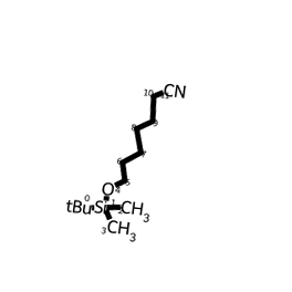 CC(C)(C)[Si](C)(C)OCCCCCCC#N